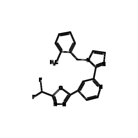 Cc1ccccc1Cn1ccnc1-c1cc(-c2nnc(C(F)F)o2)ccn1